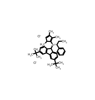 CC/[C](c1ccccc1)=[Zr+2](\[C]1=C(C)C(C)=CC1C)[CH]1c2ccc(C(C)(C)C)cc2-c2cc(C(C)(C)C)ccc21.[Cl-].[Cl-]